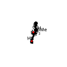 COc1cc(-c2csc3c(C=CCNCCN4CCCC4)cnc(N)c23)ccc1NC(=O)c1cc2ccccc2n1C